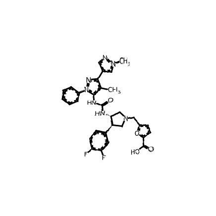 Cc1c(-c2cnn(C)c2)nn(-c2ccccc2)c1NC(=O)N[C@@H]1CN(Cc2ccc(C(=O)O)o2)C[C@H]1c1ccc(F)c(F)c1